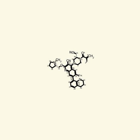 C=C(F)C(=O)N1CCN(c2c(C#N)c(OC[C@@H]3CCCN3C)nc3cc(-c4cccc5c4SCCC5)c(F)cc23)C[C@@H]1CC#N